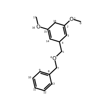 COC1=CC(COCc2ccccc2)C=C(OC)C1